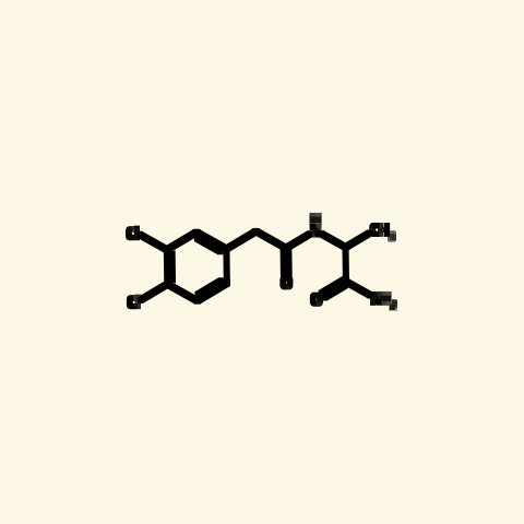 CC(NC(=O)Cc1ccc(Cl)c(Cl)c1)C(N)=O